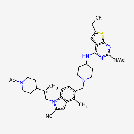 CNc1nc(NC2CCN(Cc3ccc4c(cc(C#N)n4C[C@H](C)C4CCN(C(C)=O)CC4)c3C)CC2)c2cc(CC(F)(F)F)sc2n1